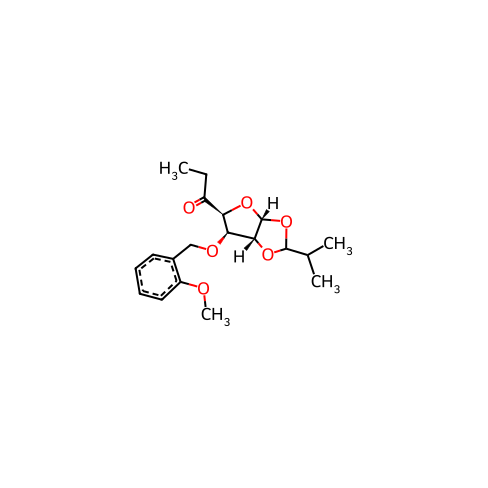 CCC(=O)[C@H]1O[C@@H]2OC(C(C)C)O[C@@H]2[C@H]1OCc1ccccc1OC